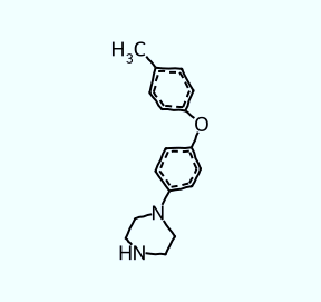 Cc1ccc(Oc2ccc(N3CCNCC3)cc2)cc1